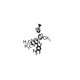 Cc1nc2nc(N3C[C@@H](C)O[C@@H](c4cnn(C5CC5)c4)C3)nc(-c3cc(C(F)F)c(F)cc3F)c2nc1C